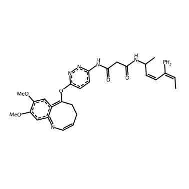 C/C=C(P)\C=C/C(C)NC(=O)CC(=O)Nc1ccc(O\C2=c3/cc(OC)c(OC)c/c3=N/C=C\CC2)nn1